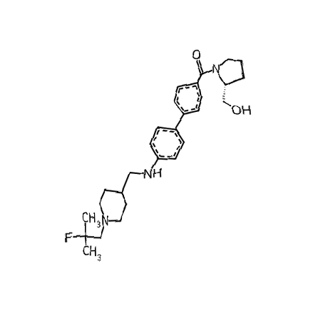 CC(C)(F)CN1CCC(CNc2ccc(-c3ccc(C(=O)N4CCC[C@@H]4CO)cc3)cc2)CC1